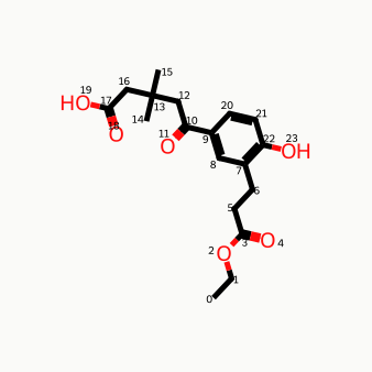 CCOC(=O)CCc1cc(C(=O)CC(C)(C)CC(=O)O)ccc1O